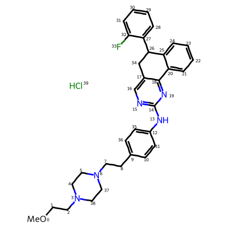 COCCN1CCN(CCc2ccc(Nc3ncc4c(n3)-c3ccccc3C(c3ccccc3F)C4)cc2)CC1.Cl